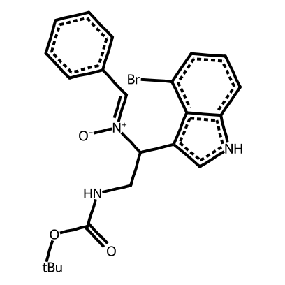 CC(C)(C)OC(=O)NCC(c1c[nH]c2cccc(Br)c12)/[N+]([O-])=C/c1ccccc1